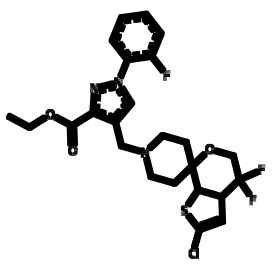 CCOC(=O)c1nn(-c2ccccc2F)cc1CN1CCC2(CC1)OCC(F)(F)C1C=C(Cl)SC12